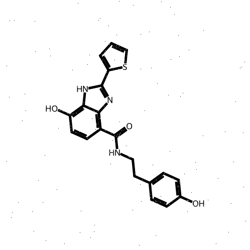 O=C(NCCc1ccc(O)cc1)c1ccc(O)c2[nH]c(-c3cccs3)nc12